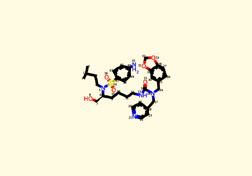 CC(C)CCN([C@H](CO)CCCCNC(=O)N(Cc1ccncc1)Cc1ccc2c(c1)OCO2)S(=O)(=O)c1ccc(N)cc1